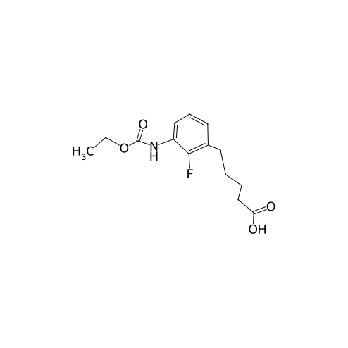 CCOC(=O)Nc1cccc(CCCCC(=O)O)c1F